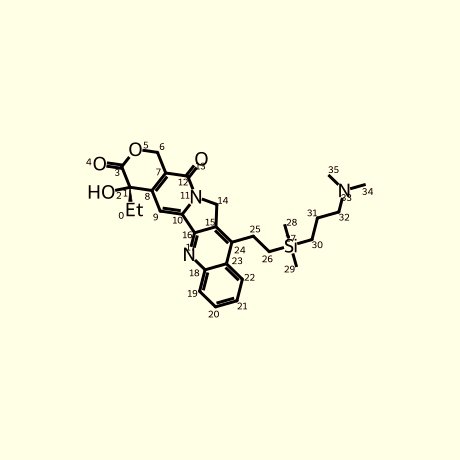 CC[C@@]1(O)C(=O)OCc2c1cc1n(c2=O)Cc2c-1nc1ccccc1c2CC[Si](C)(C)CCCN(C)C